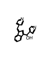 OC(C1=CC(=Cc2ccncc2)c2ccccc21)c1ccncc1